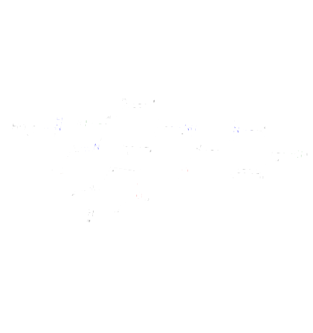 O=C(O)NC1=N[C@@]2(c3cc(NC(=O)c4ccc(Cl)cn4)ccc3F)COC[C@H]2CS1